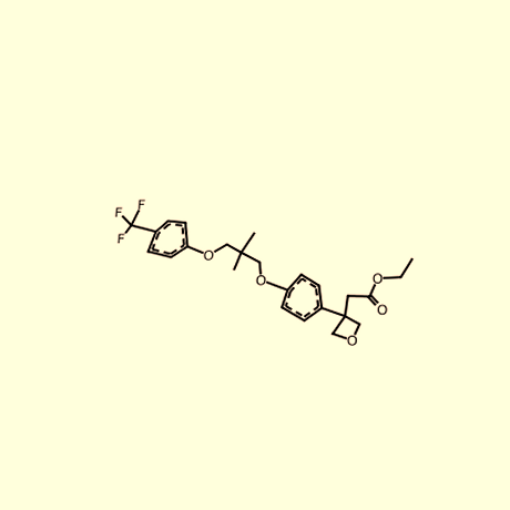 CCOC(=O)CC1(c2ccc(OCC(C)(C)COc3ccc(C(F)(F)F)cc3)cc2)COC1